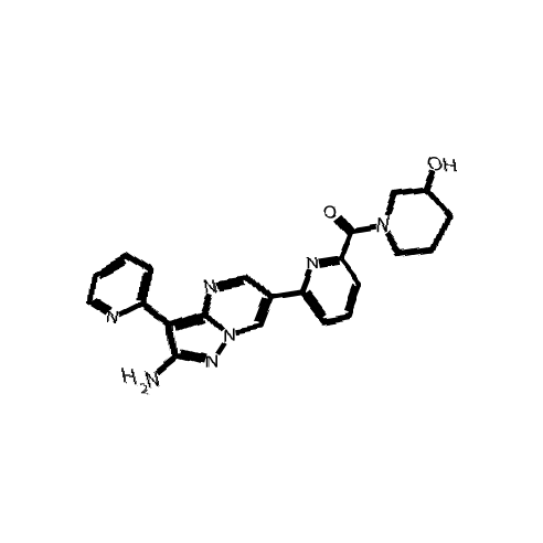 Nc1nn2cc(-c3cccc(C(=O)N4CCCC(O)C4)n3)cnc2c1-c1ccccn1